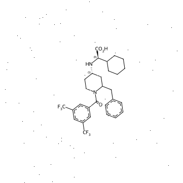 O=C(O)[C@H](N[C@H]1CCN(C(=O)c2cc(C(F)(F)F)cc(C(F)(F)F)c2)C(Cc2ccccc2)C1)C1CCCCC1